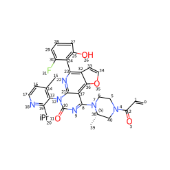 C=CC(=O)N1CCN(c2nc(=O)n(-c3c(C)ccnc3C(C)C)c3nc(-c4c(O)cccc4F)c4ccoc4c23)[C@@H](C)C1